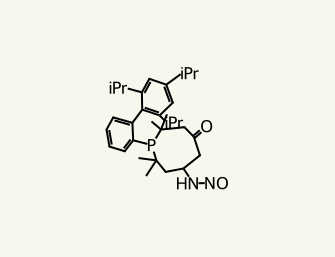 CC(C)c1cc(C(C)C)c(-c2ccccc2P2C(C)(C)CC(=O)CC(NN=O)CC2(C)C)c(C(C)C)c1